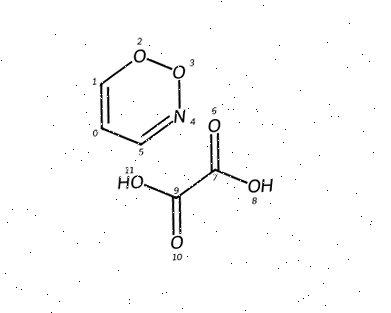 C1=COON=C1.O=C(O)C(=O)O